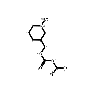 CCC(CC)OC(=O)OCC1CCCN(CC)C1